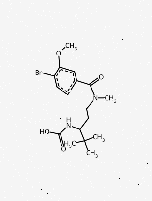 COc1cc(C(=O)N(C)CCC(NC(=O)O)C(C)(C)C)ccc1Br